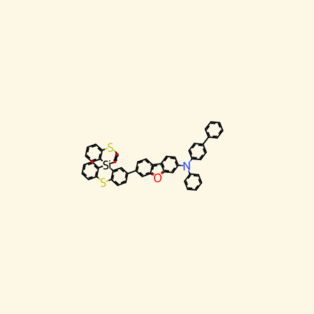 c1ccc(-c2ccc(N(c3ccccc3)c3ccc4c(c3)oc3cc(-c5ccc6c(c5)[Si]5(c7ccccc7Sc7ccccc75)c5ccccc5S6)ccc34)cc2)cc1